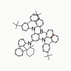 CC(C)(C)c1ccc(N2c3ccccc3B3c4ccc(C(C)(C)C)cc4N(c4ccc(C(C)(C)C)cc4-c4ccccc4)c4cc(N5c6ccccc6C6(c7ccccc7)CCCCC56C)cc2c43)c(-c2ccccc2)c1